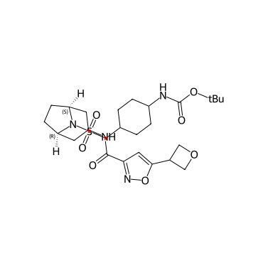 CC(C)(C)OC(=O)NC1CCC(CS(=O)(=O)N2[C@@H]3CC[C@H]2CC(NC(=O)c2cc(C4COC4)on2)C3)CC1